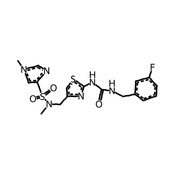 CN(Cc1csc(NC(=O)NCc2cccc(F)c2)n1)S(=O)(=O)c1cn(C)cn1